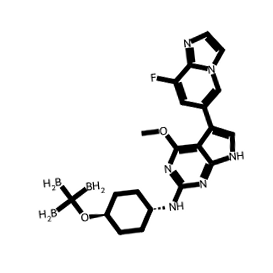 BC(B)(B)O[C@H]1CC[C@H](Nc2nc(OC)c3c(-c4cc(F)c5nccn5c4)c[nH]c3n2)CC1